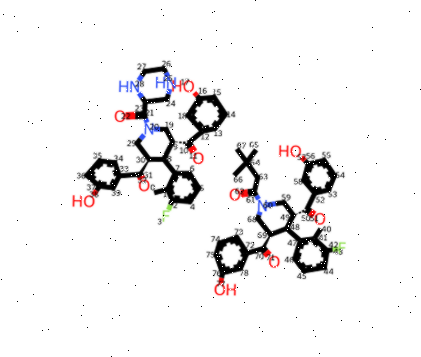 Cc1c(F)cccc1C1[C@@H](C(=O)c2cccc(O)c2)CN(C(=O)C2CNCCN2)C[C@@H]1C(=O)c1cccc(O)c1.Cc1c(F)cccc1C1[C@@H](C(=O)c2cccc(O)c2)CN(C(=O)CC(C)(C)C)C[C@@H]1C(=O)c1cccc(O)c1